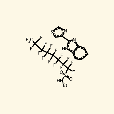 CCNS(=O)(=O)C(F)(F)C(F)(F)C(F)(F)C(F)(F)C(F)(F)C(F)(F)C(F)(F)C(F)(F)F.c1ccc2[nH]c(-c3cscn3)nc2c1